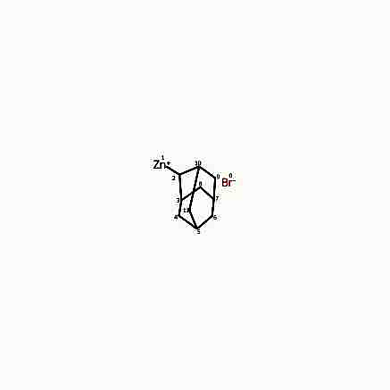 [Br-].[Zn+][CH]1C2CC3CC(C2)CC1C3